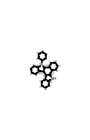 c1ccc(-n2c3ccccc3c3c4c5ccccc5[nH]c4c4ccccc4c32)cc1